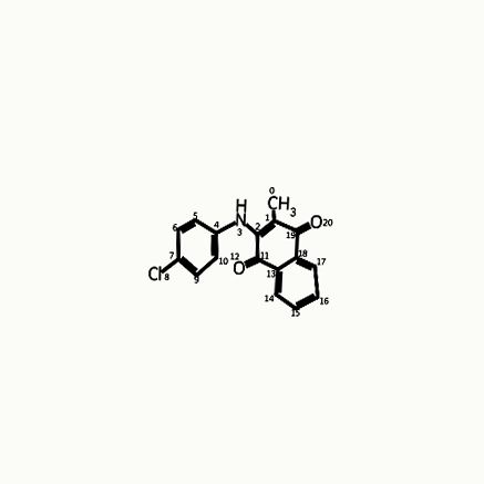 CC1=C(Nc2ccc(Cl)cc2)C(=O)c2ccccc2C1=O